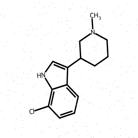 CN1CCCC(c2c[nH]c3c(Cl)cccc23)C1